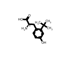 CC(C)(C)c1cc(O)ccc1C[C@@H](N)C(=O)O